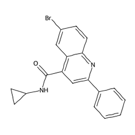 O=C(NC1CC1)c1cc(-c2ccccc2)nc2ccc(Br)cc12